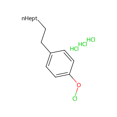 CCCCCCCCCc1ccc(OCl)cc1.Cl.Cl.Cl